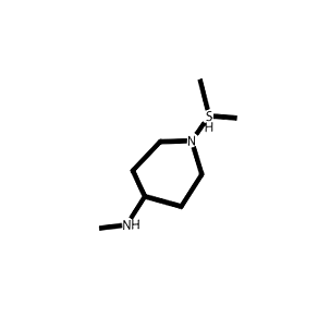 CNC1CCN([SH](C)C)CC1